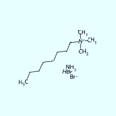 Br.CCCCCCCC[N+](C)(C)C.N.[Br-]